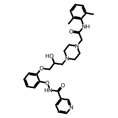 Cc1cccc(C)c1NC(=O)CN1CCN(CC(O)COc2ccccc2ONC(=O)c2cccnc2)CC1